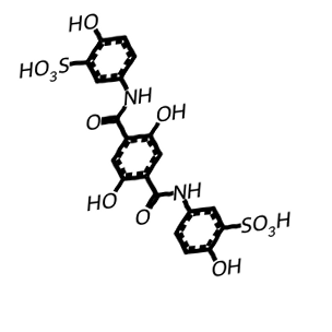 O=C(Nc1ccc(O)c(S(=O)(=O)O)c1)c1cc(O)c(C(=O)Nc2ccc(O)c(S(=O)(=O)O)c2)cc1O